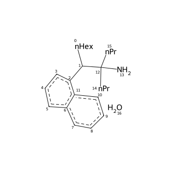 CCCCCCC(c1cccc2ccccc12)C(N)(CCC)CCC.O